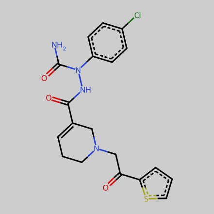 NC(=O)N(NC(=O)C1=CCCN(CC(=O)c2cccs2)C1)c1ccc(Cl)cc1